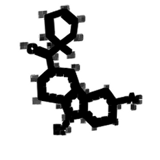 CCn1c2ccc(C(C)=O)cc2c2cc(C(=O)C3(C)C=CC=CC3)ccc21